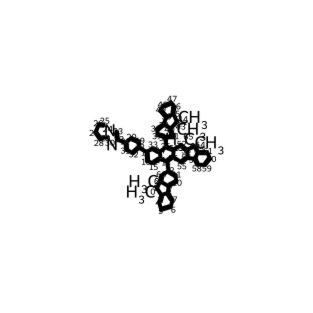 CC1(C)c2ccccc2-c2ccc(-c3c4ccc(-c5ccc(-c6cn7ccccc7n6)cc5)cc4c(-c4ccc5c(c4)C(C)(C)c4ccccc4-5)c4cc5c(cc34)-c3ccccc3C5(C)C)cc21